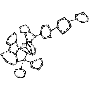 c1ccc(-c2ccc(-c3ccc(-n4c5ccccc5c5c(-n6c7ccccc7c7cccc([Si](c8ccccc8)(c8ccccc8)c8ccccc8)c76)cccc54)cc3)cc2)cc1